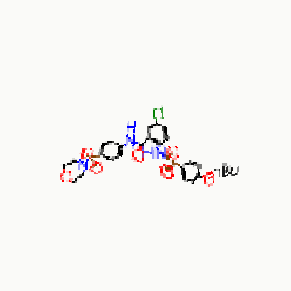 CCCCOc1ccc(S(=O)(=O)Nc2ccc(Cl)cc2C(=O)Nc2ccc(S(=O)(=O)N3CCOCC3)cc2)cc1